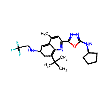 Cc1cc(-c2nnc(NC3CCCC3)o2)nc2c1=CC(NCC(F)(F)F)CC=2C(C)(C)C